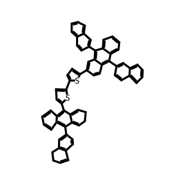 C1=Cc2ccc(-c3c4c(c(-c5ccc(-c6ccc(-c7ccc8c(-c9ccc%10ccccc%10c9)c9ccccc9c(-c9ccc%10ccccc%10c9)c8c7)s6)s5)c5ccccc35)=CCCC=4)cc2CC1